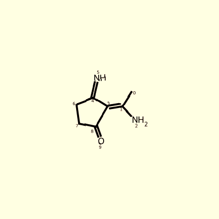 C/C(N)=C1\C(=N)CCC1=O